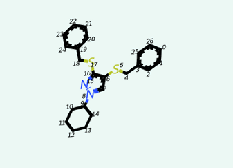 c1ccc(CSc2cn(C3CCCCC3)nc2SCc2ccccc2)cc1